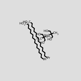 CC(C)(CO)CO.CC(C)(CO)CO.CC(C)CCCCCCCCCCCCCCC(=O)O.CC(C)CCCCCCCCCCCCCCC(=O)O